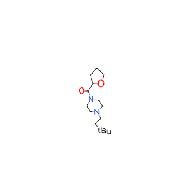 CC(C)(C)CCN1CCN(C(=O)C2CCCO2)CC1